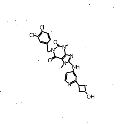 Cn1c(Nc2ccnc(C3CC(O)C3)c2)nc2c1c(=O)n(Cc1ccc(Cl)c(Cl)c1)c(=O)n2C